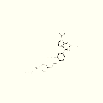 CC(C)(C)OC(=O)N1CCC(CCOc2ccc(-c3nc(C#N)nc4c3ccn4C3COC3)cc2C(F)(F)F)CC1